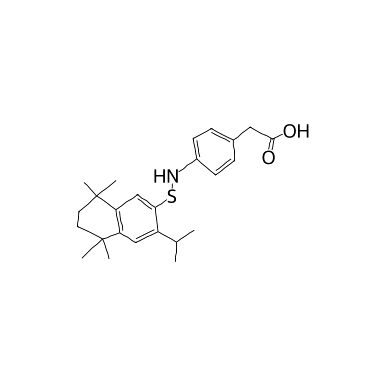 CC(C)c1cc2c(cc1SNc1ccc(CC(=O)O)cc1)C(C)(C)CCC2(C)C